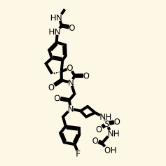 CNC(=O)Nc1ccc2c(c1)CC[C@@]21OC(=O)N(CC(=O)N(Cc2ccc(F)cc2)C2CC(NS(=O)(=O)NC(=O)O)C2)C1=O